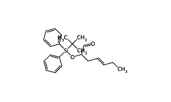 CCC=CCC(C=O)O[Si](c1ccccc1)(c1ccccc1)C(C)(C)C